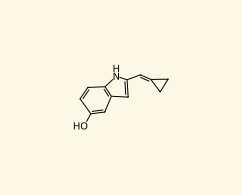 Oc1ccc2[nH]c(C=C3CC3)cc2c1